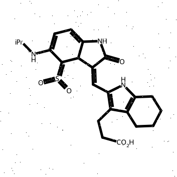 CC(C)NC1=CC=C2NC(=O)C(=Cc3[nH]c4c(c3CCC(=O)O)CCCC4)C2C1=S(=O)=O